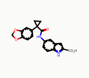 O=C(O)c1cc2cc(NC(=O)C3(c4ccc5c(c4)OCO5)CC3)ccc2[nH]1